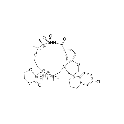 C[C@@H]1[C@@H](C)CCC[C@@](O)([C@H]2OCCN(C)C2=O)[C@@H]2CC[C@H]2CN2C[C@@]3(CCCc4cc(Cl)ccc43)COc3ccc(cc32)C(=O)NS1(=O)=O